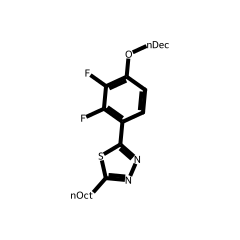 CCCCCCCCCCOc1ccc(-c2nnc(CCCCCCCC)s2)c(F)c1F